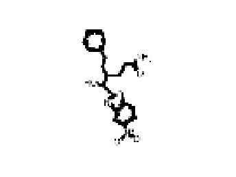 NC(=O)CC[C@H](CCc1ccccc1)C(O)c1nc2cc([N+](=O)[O-])ccc2o1